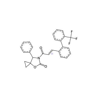 O=C(/C=C/c1ccccc1-c1ccccc1C(F)(F)F)N1C(=O)OC2(CC2)C1c1ccccc1